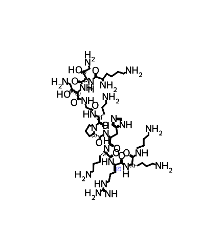 N=C(N)NCC/C=C(\NC(=O)[C@H](CCCCN)NC(=O)C(Cc1cnc[nH]1)NC(=O)[C@@H]1CCCN1C(=O)[C@@H](CCCN)NC(=O)CNC(=O)[C@H](NC(=O)[C@@H](NC(=O)C(N)CCCCN)[C@@H](O)CN)[C@H](O)CN)C(=O)N[C@@H](CCCCN)C(=O)NCCCCN